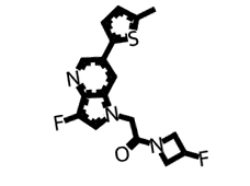 Cc1ccc(-c2cnc3c(F)cn(CC(=O)N4CC(F)C4)c3c2)s1